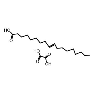 CCCCCCCCC=CCCCCCCCC(=O)O.O=C(O)C(=O)O